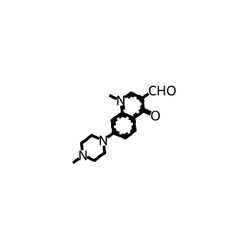 CN1CCN(c2ccc3c(=O)c(C=O)cn(C)c3c2)CC1